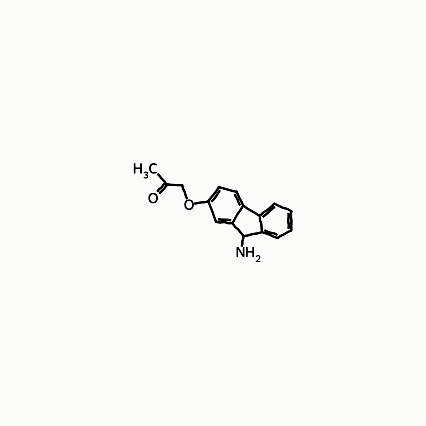 CC(=O)COc1ccc2c(c1)C(N)c1ccccc1-2